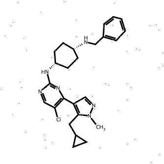 Cn1ncc(-c2nc(N[C@H]3CC[C@@H](NCc4ccccc4)CC3)ncc2Cl)c1CC1CC1